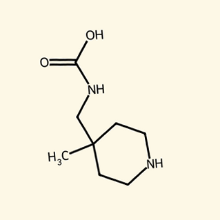 CC1(CNC(=O)O)CCNCC1